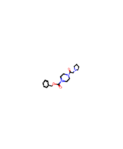 O=C(CN1CCCC1)N1CCN(C(=O)OCc2ccccc2)CC1